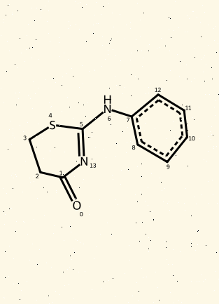 O=C1CCSC(Nc2ccccc2)=N1